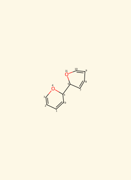 [C]1=CC=COC1C1C=CC=CO1